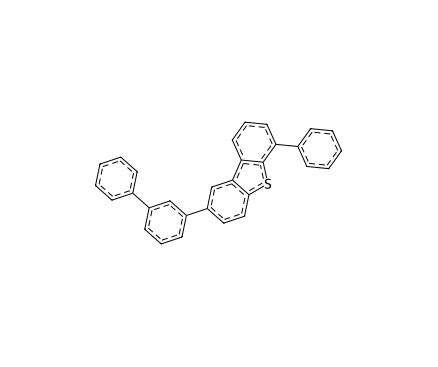 c1ccc(-c2cccc(-c3ccc4sc5c(-c6ccccc6)cccc5c4c3)c2)cc1